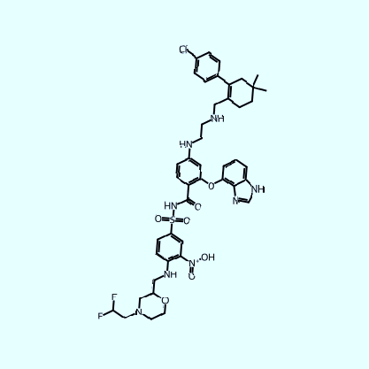 CC1(C)CCC(CNCCNc2ccc(C(=O)NS(=O)(=O)c3ccc(NCC4CN(CC(F)F)CCO4)c([N+](=O)O)c3)c(Oc3cccc4[nH]cnc34)c2)=C(c2ccc(Cl)cc2)C1